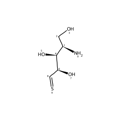 N[C@H](CO)[C@H](O)[C@@H](O)C=S